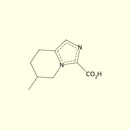 CC1CCc2cnc(C(=O)O)n2C1